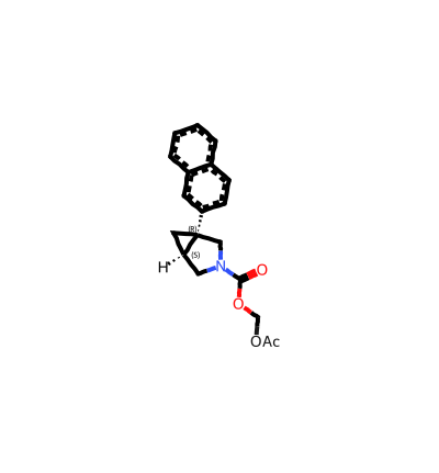 CC(=O)OCOC(=O)N1C[C@H]2C[C@@]2(c2ccc3ccccc3c2)C1